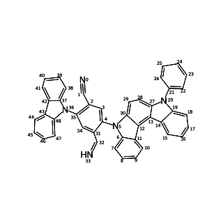 N#Cc1cc(-n2c3ccccc3c3c4c5ccccc5n(-c5ccccc5)c4ccc32)c(C=N)cc1-n1c2ccccc2c2ccccc21